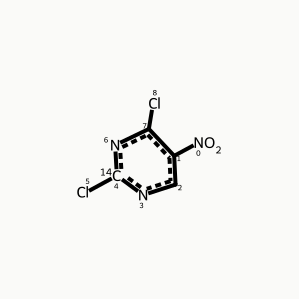 O=[N+]([O-])c1cn[14c](Cl)nc1Cl